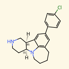 Clc1ccc(-c2cc3c4c(c2)[C@@H]2CNCC[C@@H]2N4CCCC3)cc1